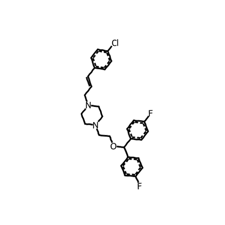 Fc1ccc(C(OCCN2CCN(CC=Cc3ccc(Cl)cc3)CC2)c2ccc(F)cc2)cc1